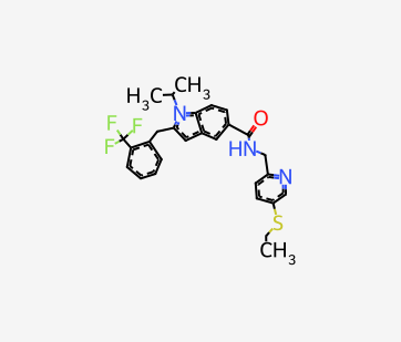 CCSc1ccc(CNC(=O)c2ccc3c(c2)cc(Cc2ccccc2C(F)(F)F)n3C(C)C)nc1